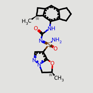 C[C@H]1Cn2ncc([S@@](N)(=O)=NC(=O)Nc3c4c(cc5c3[C@@H](C)C5)CCC4)c2O1